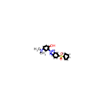 CN(C)c1ccc(O)c(-n2nc3ccc(S(=O)(=O)c4ccccc4)cc3n2)c1